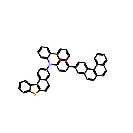 c1ccc(-c2ccccc2N(c2ccc(-c3ccc4c(ccc5ccc6ccccc6c54)c3)cc2)c2ccc3c(ccc4sc5ccccc5c43)c2)cc1